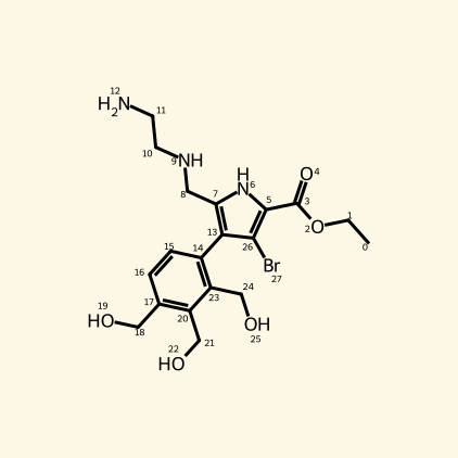 CCOC(=O)c1[nH]c(CNCCN)c(-c2ccc(CO)c(CO)c2CO)c1Br